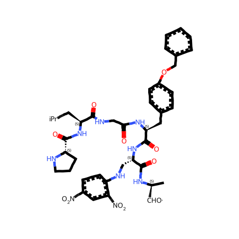 CC(C)C[C@H](NC(=O)[C@@H]1CCCN1)C(=O)NCC(=O)N[C@@H](Cc1ccc(OCc2ccccc2)cc1)C(=O)N[C@@H](CNc1ccc([N+](=O)[O-])cc1[N+](=O)[O-])C(=O)N[C@@H](C)[C]=O